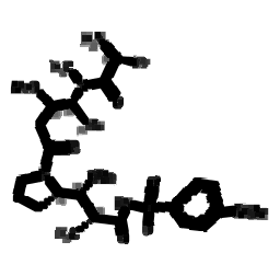 CC[C@H](C)[C@@H]([C@@H](CC(=O)N1CCC[C@H]1[C@H](OC)[C@@H](C)C(=O)NS(=O)(=O)c1ccc(NC(C)=O)cc1)OC)N(C)C(=O)[C@@H](N)C(C)C